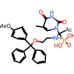 COc1ccc(C(OCCNC(C(C)=O)(n2cc(C)c(=O)[nH]c2=O)P(=O)(O)O)(c2ccccc2)c2ccccc2)cc1